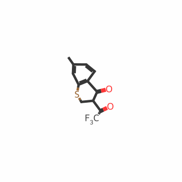 Cc1ccc2c(c1)SCC(C(=O)C(F)(F)F)C2=O